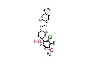 CCC[C@H]1CC[C@H](CCC2CCC(O)(c3ccc(OCC)c(F)c3Cl)CC2)CC1